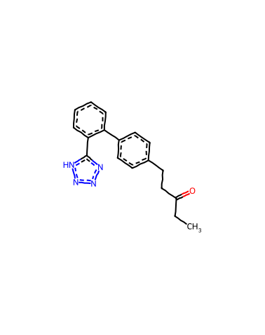 CCC(=O)CCc1ccc(-c2ccccc2-c2nnn[nH]2)cc1